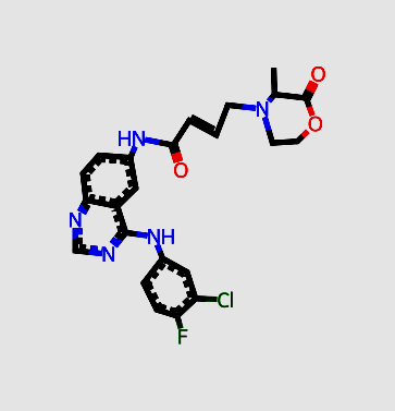 CC1C(=O)OCCN1CC=CC(=O)Nc1ccc2ncnc(Nc3ccc(F)c(Cl)c3)c2c1